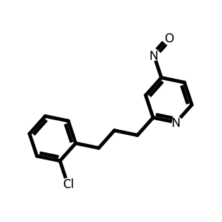 O=Nc1ccnc(CCCc2ccccc2Cl)c1